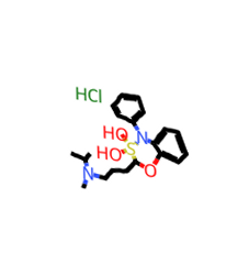 CC(C)N(C)CCCC1Oc2ccccc2N(c2ccccc2)S1(O)O.Cl